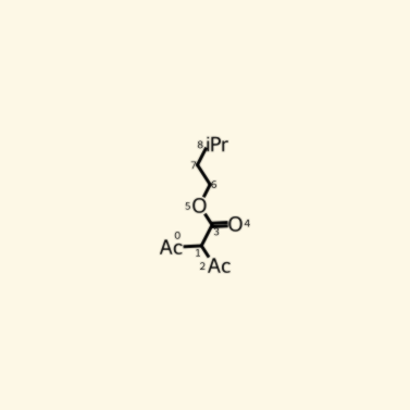 CC(=O)C(C(C)=O)C(=O)OCCC(C)C